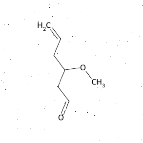 C=CCC(CC=O)OC